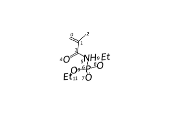 C=C(C)C(=O)NP(=O)(OCC)OCC